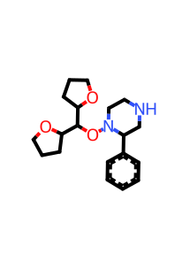 c1ccc(C2CNCCN2OC(C2CCCO2)C2CCCO2)cc1